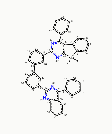 C[Si]1(C)c2ccccc2-c2c(-c3ccccc3)nc(-c3cccc(-c4cccc(-c5nc(-c6ccccc6)c6ccccc6n5)c4)c3)nc21